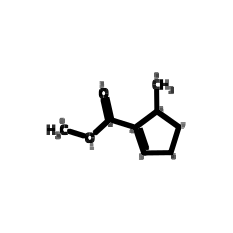 COC(=O)C1=CCCC1C